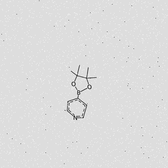 CC1(C)OB(c2c[c]ncc2)OC1(C)C